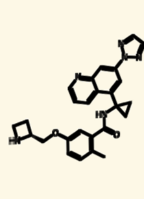 Cc1ccc(OC[C@@H]2CCN2)cc1C(=O)NC1(c2cc(-n3nccn3)cc3ncccc23)CC1